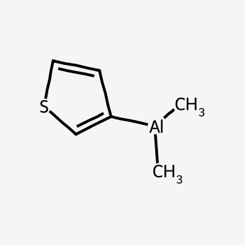 [CH3][Al]([CH3])[c]1ccsc1